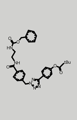 CC(C)(C)C(=O)Oc1ccc(-c2nnn(Cc3ccc(C(=O)NCCNC(=O)OCc4ccccc4)cc3)n2)cc1